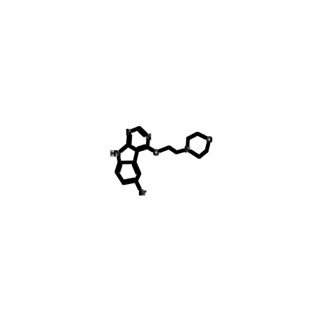 Brc1ccc2[nH]c3ncnc(OCCN4CCOCC4)c3c2c1